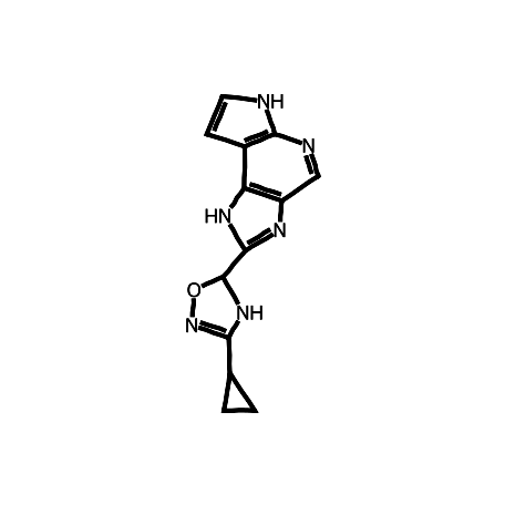 c1cc2c(ncc3nc(C4NC(C5CC5)=NO4)[nH]c32)[nH]1